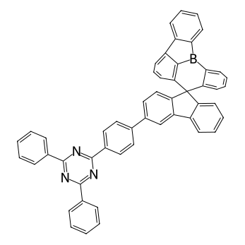 c1ccc(-c2nc(-c3ccccc3)nc(-c3ccc(-c4ccc5c(c4)-c4ccccc4C54c5ccccc5B5c6ccccc6-c6cccc4c65)cc3)n2)cc1